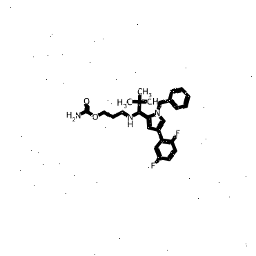 CC(C)(C)C(NCCCOC(N)=O)c1cc(-c2cc(F)ccc2F)cn1Cc1ccccc1